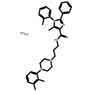 Cc1ccccc1-n1c(-c2ccccc2)nc(C(=O)NCCCN2CCN(c3cccc(C)c3C)CC2)c1C.Cl.Cl